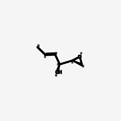 C/C=C/[C@H](O)[C@@H]1CO1